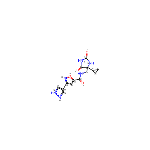 O=C1NC(=O)C(CNC(=O)c2cc(-c3cn[nH]c3)no2)(C2CC2)N1